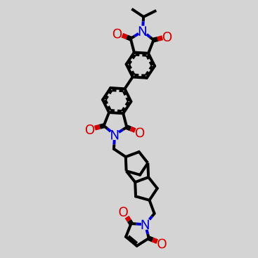 CC(C)N1C(=O)c2ccc(-c3ccc4c(c3)C(=O)N(CC3CC5CC3C3CC(CN6C(=O)C=CC6=O)CC53)C4=O)cc2C1=O